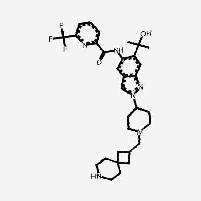 CC(C)(O)c1cc2nn(C3CCN(CC4CC5(CCNCC5)C4)CC3)cc2cc1NC(=O)c1cccc(C(F)(F)F)n1